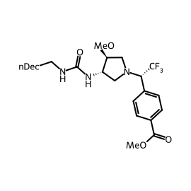 CCCCCCCCCCCNC(=O)N[C@H]1CN([C@@H](c2ccc(C(=O)OC)cc2)C(F)(F)F)C[C@@H]1OC